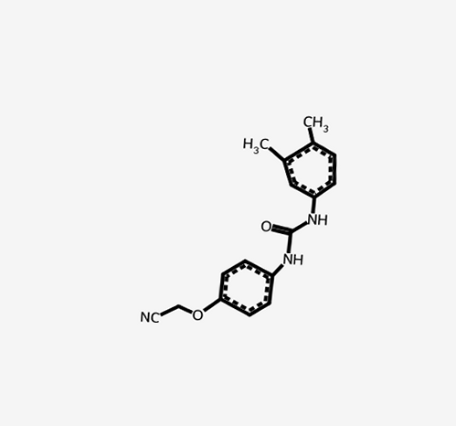 Cc1ccc(NC(=O)Nc2ccc(OCC#N)cc2)cc1C